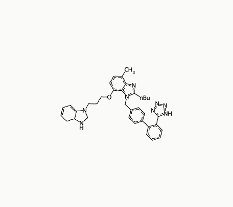 CCCCc1nc2c(C)ccc(OCCCN3CNC4CC=CC=C43)c2n1Cc1ccc(-c2ccccc2-c2nnn[nH]2)cc1